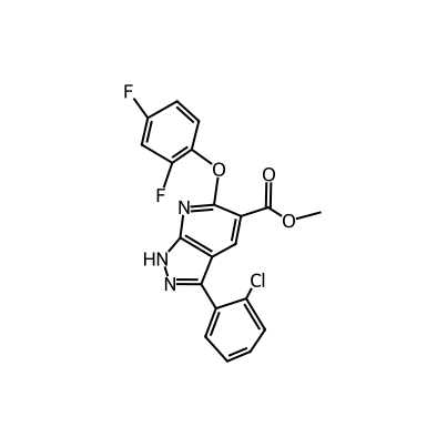 COC(=O)c1cc2c(-c3ccccc3Cl)n[nH]c2nc1Oc1ccc(F)cc1F